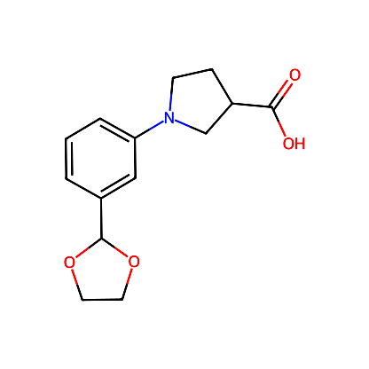 O=C(O)C1CCN(c2cccc(C3OCCO3)c2)C1